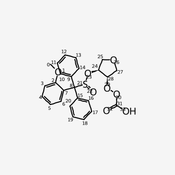 COc1ccccc1C(c1ccccc1)(c1ccccc1)S(=O)O[C@H]1COC[C@H]1OOC(=O)O